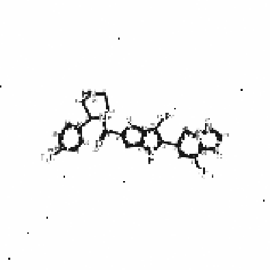 Cc1cc(-c2[nH]c3cc(C(=O)N4CCNCC4c4ccc(C(F)(F)F)cc4)sc3c2C(C)C)cn2ncnc12